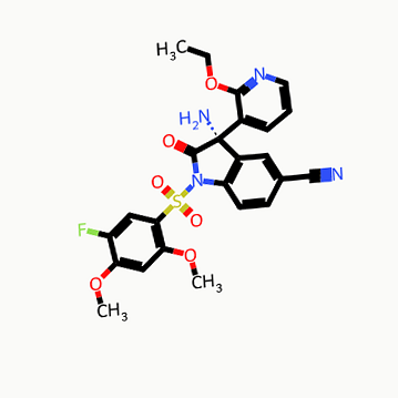 CCOc1ncccc1[C@]1(N)C(=O)N(S(=O)(=O)c2cc(F)c(OC)cc2OC)c2ccc(C#N)cc21